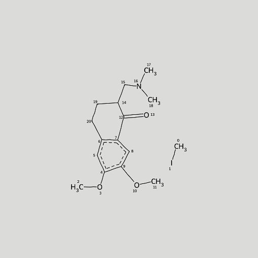 CI.COc1cc2c(cc1OC)C(=O)C(CN(C)C)CC2